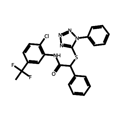 CC(F)(F)c1ccc(Cl)c(NC(=O)C(Sc2nnnn2-c2ccccc2)c2ccccc2)c1